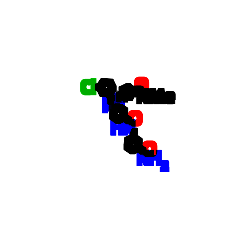 CNC(=O)[C@@H]1CC[C@@H](n2c(-c3cccc(Cl)c3)nc3ccc(C(=O)NCc4cccc(C(N)=O)c4)cc32)C1